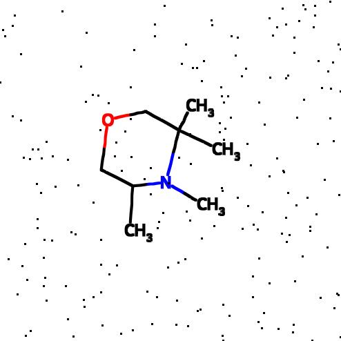 CC1COCC(C)(C)N1C